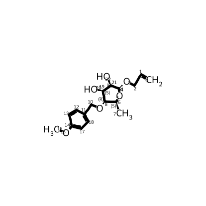 C=CCO[C@@H]1O[C@@H](C)[C@H](OCc2ccc(OC)cc2)[C@@H](O)[C@H]1O